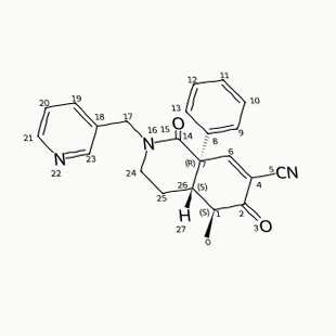 C[C@@H]1C(=O)C(C#N)=C[C@]2(c3ccccc3)C(=O)N(Cc3cccnc3)CC[C@@H]12